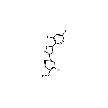 CCc1cc(F)ccc1-c1nc(-c2ccc(OC(C)C)c(Cl)c2)no1